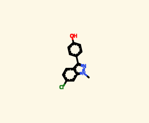 Cn1nc(-c2ccc(O)cc2)c2ccc(Cl)cc21